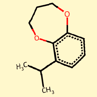 CC(C)c1cccc2c1OCCCO2